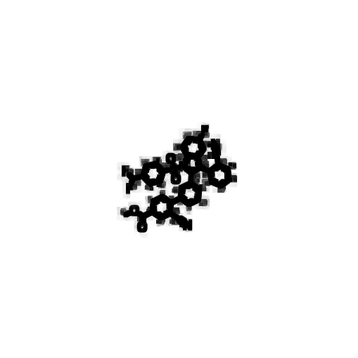 COC(=O)c1ccc(-c2cccc(-c3c(-c4ccccc4C#N)c4cc(F)ccc4n3S(=O)(=O)c3ccc(C(F)F)cc3)c2)c(C#N)c1